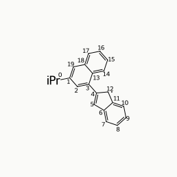 CC(C)c1cc(C2=Cc3ccccc3[CH]2)c2ccccc2c1